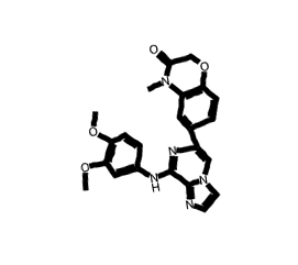 COc1ccc(Nc2nc(-c3ccc4c(c3)N(C)C(=O)CO4)cn3ccnc23)cc1OC